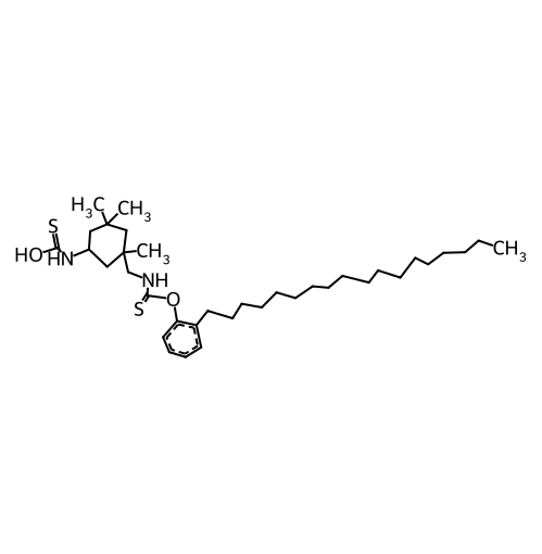 CCCCCCCCCCCCCCCCCCc1ccccc1OC(=S)NCC1(C)CC(NC(O)=S)CC(C)(C)C1